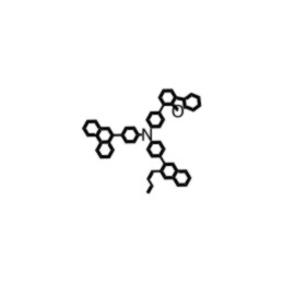 C=C/C=C\c1cc2ccccc2cc1-c1ccc(N(c2ccc(-c3cc4ccccc4c4ccccc34)cc2)c2ccc(-c3cccc4c3oc3ccccc34)cc2)cc1